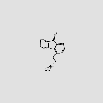 O=C1c2ccccc2-c2c(OC[C@@H]3CO3)cccc21